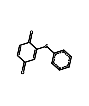 O=C1C=CC(=O)C(Sc2ccccc2)=C1